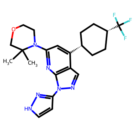 CC1(C)COCCN1c1cc([C@H]2CC[C@@H](C(F)(F)F)CC2)c2cnn(-c3cc[nH]n3)c2n1